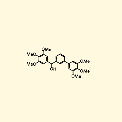 COc1cc(-c2cccc(C(O)c3cc(OC)c(OC)c(OC)c3)c2)cc(OC)c1OC